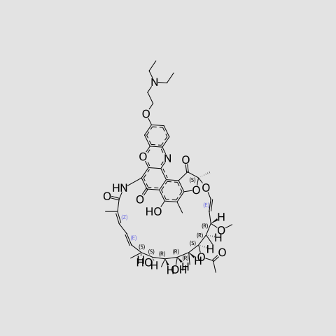 CCN(CC)CCOc1ccc2nc3c4c5c6c(C)c(O)c4c(=O)c(c-3oc2c1)NC(=O)/C(C)=C\C=C\[C@H](C)[C@H](O)[C@@H](C)[C@@H](O)[C@@H](C)[C@H](OC(C)=O)[C@H](C)[C@@H](OC)/C=C/O[C@@](C)(O6)C5=O